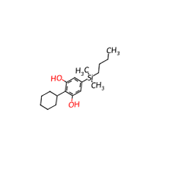 CCCC[Si](C)(C)c1cc(O)c(C2CCCCC2)c(O)c1